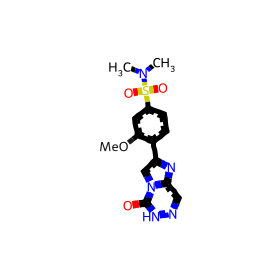 COc1cc(S(=O)(=O)N(C)C)ccc1-c1cn2c(=O)[nH]ncc2n1